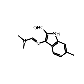 Cc1ccc2c(N=CN(C)C)c(C=O)[nH]c2c1